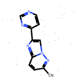 N#Cc1ccc2nc(-c3ccncn3)cn2n1